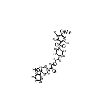 COc1cc(C)c(S(=O)(=O)N2CCC(CCOCC(=O)N3CCC(O)(c4ccccn4)CC3)CC2)c(C)c1C